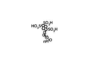 CCCC(=O)C1CCN(C(=O)COc2cc(S(=O)(=O)O)c3ccc4c(S(=O)(=O)O)cc(S(=O)(=O)O)c5ccc2c3c54)CC1